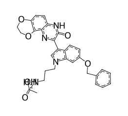 CC(=O)O.NCCCn1cc(-c2nc3c4c(ccc3[nH]c2=O)OCCO4)c2ccc(OCc3ccccc3)cc21